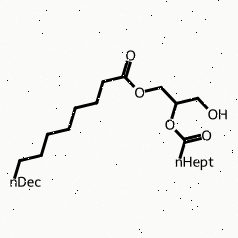 CCCCCCCCCCCCCCCCCC(=O)OCC(CO)OC(=O)CCCCCCC